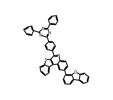 c1ccc(-c2nc(-c3ccccc3)nc(-c3ccc(-c4nc5ccc(-c6cccc7c6oc6ccccc67)cc5c5c4sc4ccccc45)cc3)n2)cc1